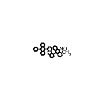 CC1CC=Cc2c1c(N=O)c1ccccc1c2-c1cccc2c1C1C=CC=C(c3c4ccccc4c(-c4ccccc4)c4ccccc34)C1S2